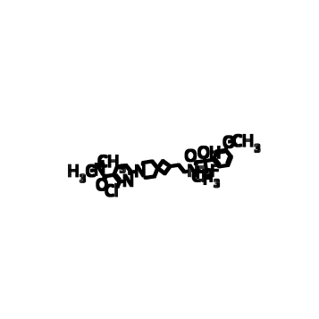 COc1cccc(C(O)(C(=O)N(C)CCC2CC3(CCN(c4ccc(C(=O)N(C)C)c(Cl)n4)CC3)C2)C(F)(F)F)c1